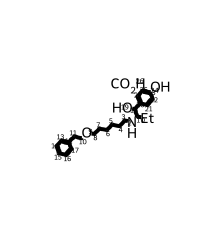 CCC(NCCCCCCOCCc1ccccc1)C(O)c1ccc(O)c(C(=O)O)c1